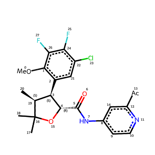 COc1c([C@H]2[C@H](C(=O)Nc3ccnc(C(C)=O)c3)OC(C)(C)[C@H]2C)cc(Cl)c(F)c1F